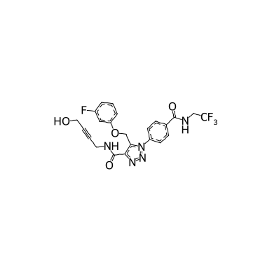 O=C(NCC(F)(F)F)c1ccc(-n2nnc(C(=O)NCC#CCO)c2COc2cccc(F)c2)cc1